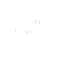 I.N.c1ccc2[nH]ccc2c1